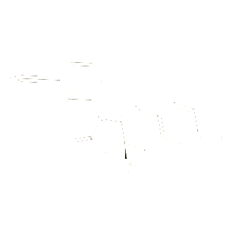 Cc1c(C#N)cccc1N1C(=O)C[C@@]2(O)Cc3cc(Cl)ccc3N=C12